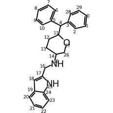 c1ccc(C(c2ccccc2)C2CCC(NCc3cc4ccccc4[nH]3)CO2)cc1